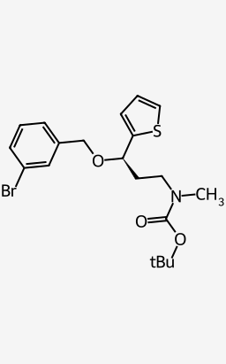 CN(CC[C@@H](OCc1cccc(Br)c1)c1cccs1)C(=O)OC(C)(C)C